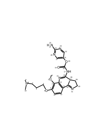 COc1c(OCCCN(C)C)ccc2c1N=C(NC(=O)Oc1cnc(N)nc1)N1CCN=C21